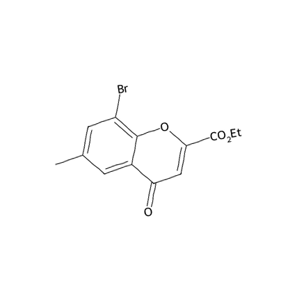 CCOC(=O)c1cc(=O)c2cc(C)cc(Br)c2o1